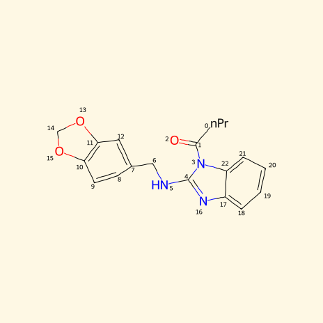 CCCC(=O)n1c(NCc2ccc3c(c2)OCO3)nc2ccccc21